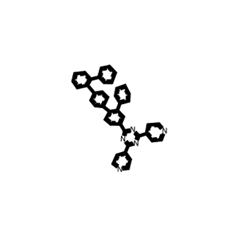 c1ccc(-c2ccccc2-c2ccc(-c3ccc(-c4nc(-c5ccncc5)nc(-c5ccncc5)n4)cc3-c3ccccc3)cc2)cc1